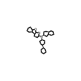 c1ccc(-c2ccc(N(c3ccc4ccccc4c3)c3ccc4c(n3)oc3ccccc34)cc2)cc1